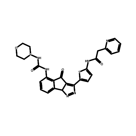 O=C(Cc1ccccn1)Nc1ccc(C2=C3C(=O)c4c(NC(=O)NN5CCOCC5)cccc4C3N=N2)s1